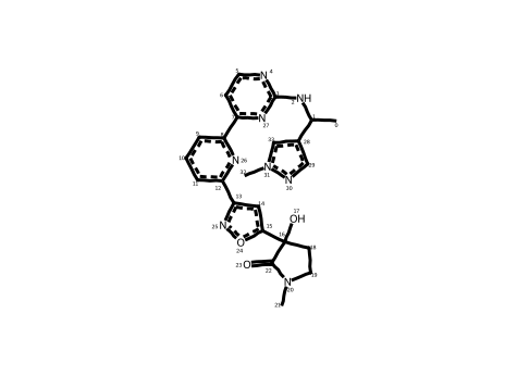 CC(Nc1nccc(-c2cccc(-c3cc(C4(O)CCN(C)C4=O)on3)n2)n1)c1cnn(C)c1